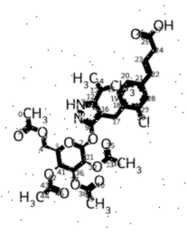 CC(=O)OC[C@H]1O[C@@H](Oc2n[nH]c(C(C)C)c2Cc2ccc(/C=C/CC(=O)O)cc2Cl)[C@H](OC(C)=O)[C@@H](OC(C)=O)[C@@H]1OC(C)=O